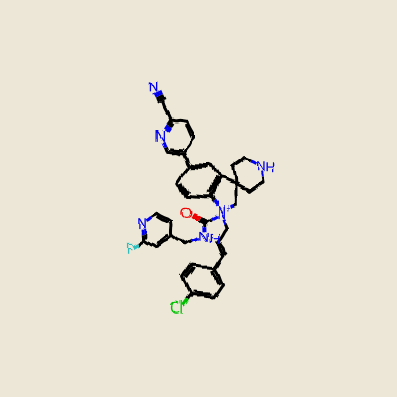 N#Cc1ccc(-c2ccc3c(c2)C2(CCNCC2)C[N+]3(C/C=C/c2ccc(Cl)cc2)C(=O)NCc2ccnc(F)c2)cn1